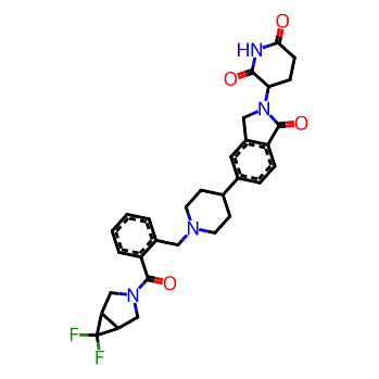 O=C1CCC(N2Cc3cc(C4CCN(Cc5ccccc5C(=O)N5CC6C(C5)C6(F)F)CC4)ccc3C2=O)C(=O)N1